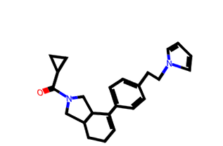 O=C(C1CC1)N1CC2CCC=C(c3ccc(CCn4cccc4)cc3)C2C1